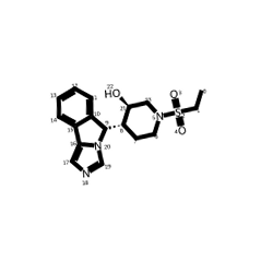 CCS(=O)(=O)N1CC[C@H](C2c3ccccc3-c3cncn32)[C@@H](O)C1